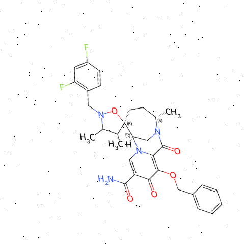 CC1C(C)[C@@]2(CC[C@H](C)N3C[C@H]2n2cc(C(N)=O)c(=O)c(OCc4ccccc4)c2C3=O)ON1Cc1ccc(F)cc1F